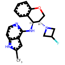 FC1CN([C@H]2COc3ccccc3[C@@H]2Nc2nccc3[nH]c(C(F)(F)F)cc23)C1